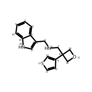 c1ccc2c(CNCC3(c4ccsc4)COC3)c[nH]c2c1